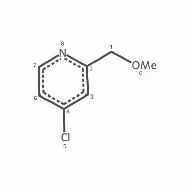 [CH2]OCc1cc(Cl)ccn1